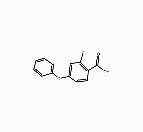 O=C(O)c1ccc(Oc2ccccc2)cc1F